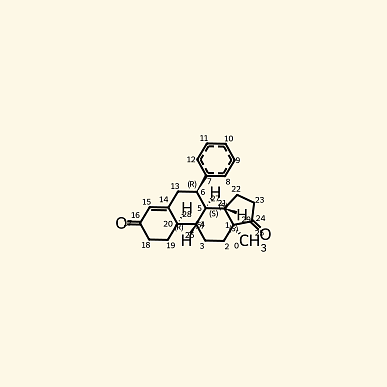 C[C@]12CC[C@H]3[C@@H]([C@H](c4ccccc4)CC4=CC(=O)CC[C@@H]43)[C@@H]1CCC2=O